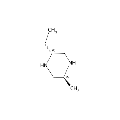 CC[C@@H]1CN[C@@H](C)CN1